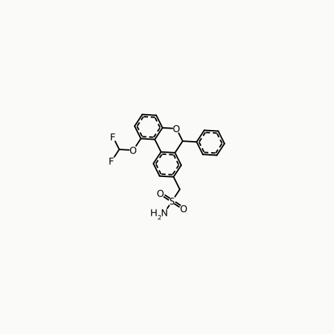 NS(=O)(=O)Cc1ccc2c(c1)C(c1ccccc1)Oc1cccc(OC(F)F)c1-2